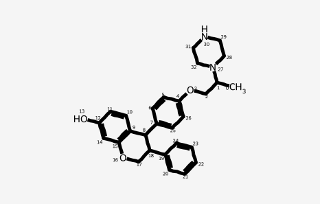 CC(COc1ccc(C2c3ccc(O)cc3OCC2c2ccccc2)cc1)N1CCNCC1